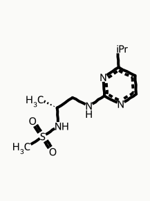 CC(C)c1ccnc(NC[C@@H](C)NS(C)(=O)=O)n1